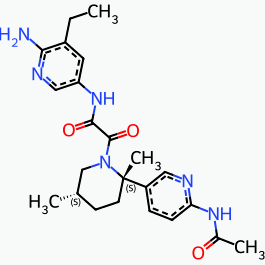 CCc1cc(NC(=O)C(=O)N2C[C@@H](C)CC[C@@]2(C)c2ccc(NC(C)=O)nc2)cnc1N